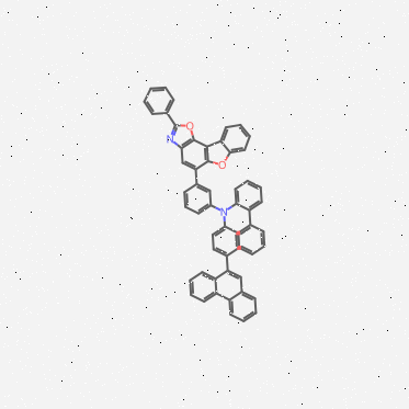 c1ccc(-c2nc3cc(-c4cccc(N(c5ccc(-c6cc7ccccc7c7ccccc67)cc5)c5ccccc5-c5ccccc5)c4)c4oc5ccccc5c4c3o2)cc1